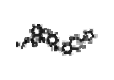 COC(=O)c1ccncc1Nc1nc(Nc2ccc3c(c2)CC[C@@H](N2CCCC2)CC3)ncc1Cl